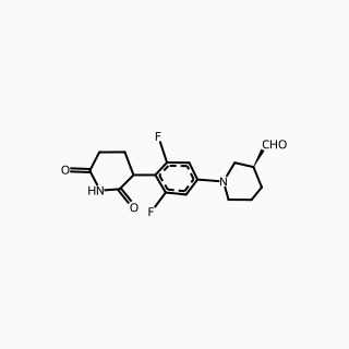 O=C[C@H]1CCCN(c2cc(F)c(C3CCC(=O)NC3=O)c(F)c2)C1